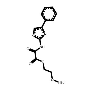 CCCCOCCOC(=O)C(=O)Nc1nc(-c2ccccc2)cs1